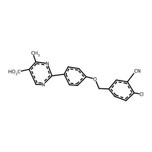 Cc1nc(-c2ccc(OCc3ccc(Cl)c(C#N)c3)cc2)ncc1C(=O)O